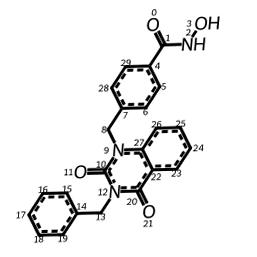 O=C(NO)c1ccc(Cn2c(=O)n(Cc3ccccc3)c(=O)c3ccccc32)cc1